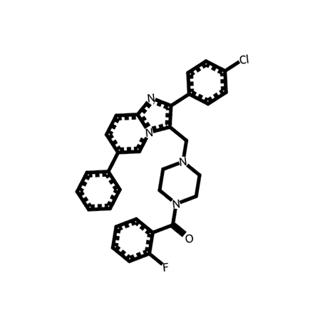 O=C(c1ccccc1F)N1CCN(Cc2c(-c3ccc(Cl)cc3)nc3ccc(-c4ccccc4)cn23)CC1